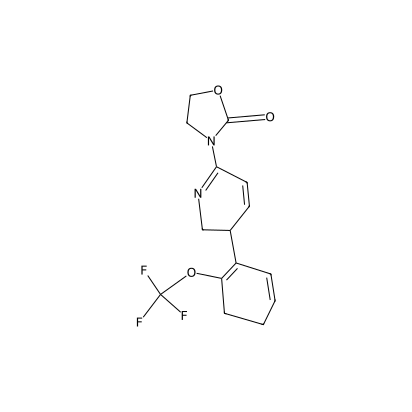 O=C1OCCN1C1=NCC(C2=C(OC(F)(F)F)CCC=C2)C=C1